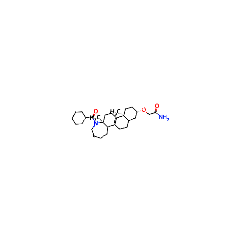 C[C@]12CCC3=C(CCC4C[C@@H](OCC(N)=O)CC[C@]34C)C1CCCCN2C(=O)C1CCCCC1